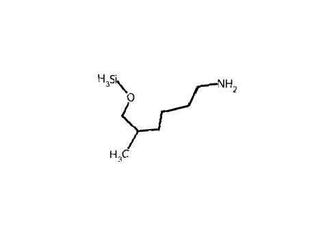 CC(CCCCN)CO[SiH3]